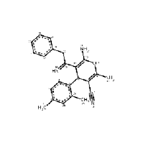 Cc1ccc(C2C(C#N)=C(N)OC(N)=C2C(=N)Cc2ccccc2)c(C)c1